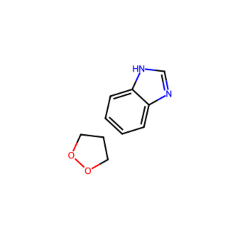 C1COOC1.c1ccc2[nH]cnc2c1